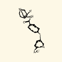 CC(=O)c1ccc(Sc2ccc(C(=O)N[C@H]3CN4CCC3CC4)cc2)cn1